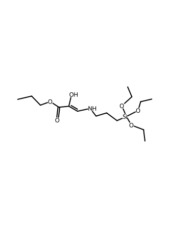 CCCOC(=O)C(O)=CNCCC[Si](OCC)(OCC)OCC